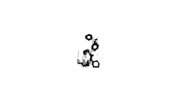 CN[C@@H](C)C(=O)N[C@H](C(=O)N1CCC[C@@H]1c1cccc(N(C)c2ccccc2)c1)C1CCCCC1